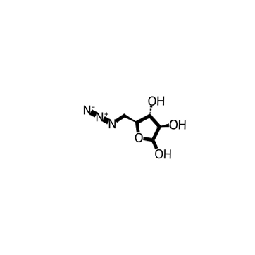 [N-]=[N+]=NC[C@@H]1OC(O)[C@H](O)[C@H]1O